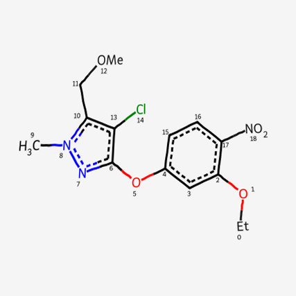 [CH2]COc1cc(Oc2nn(C)c(COC)c2Cl)ccc1[N+](=O)[O-]